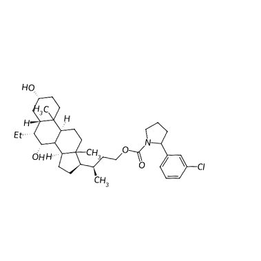 CC[C@H]1[C@@H](O)C2[C@@H]3CC[C@H]([C@H](C)CCOC(=O)N4CCCC4c4cccc(Cl)c4)C3(C)CC[C@@H]2C2(C)CC[C@@H](O)C[C@@H]12